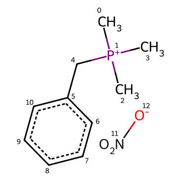 C[P+](C)(C)Cc1ccccc1.O=[N+]([O-])[O-]